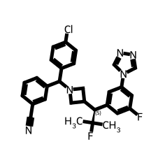 CC(C)(F)[C@H](c1cc(F)cc(-n2cnnc2)c1)C1CN(C(c2ccc(Cl)cc2)c2cccc(C#N)c2)C1